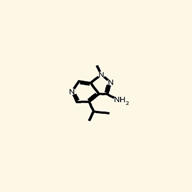 CC(C)c1cncc2c1c(N)nn2C